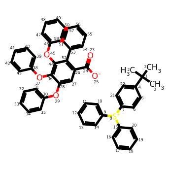 CC(C)(C)c1ccc([S+](c2ccccc2)c2ccccc2)cc1.O=C([O-])c1cc(Oc2ccccc2)c(Oc2ccccc2)c(Oc2ccccc2)c1-c1ccccc1